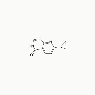 O=c1[nH]ccc2nc(C3CC3)ccc12